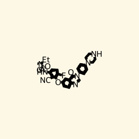 CCN(C)S(=O)(=O)Nc1ccc(F)c(Oc2ccc3ncn(-c4ccc(N5CCNCC5)cc4)c(=O)c3c2)c1C#N